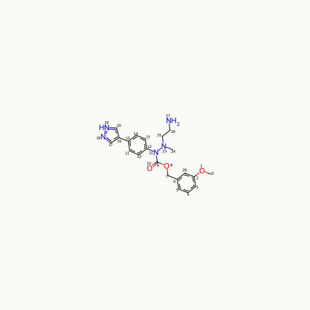 COc1cccc(COC(=O)N(c2ccc(-c3cn[nH]c3)cc2)N(C)CCN)c1